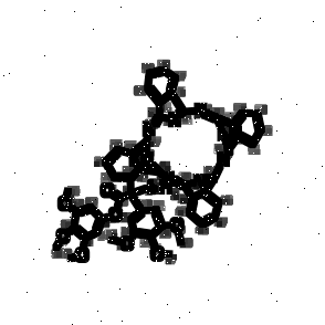 COc1cc(OC(=O)C([SiH3])(c2cc(OC)c(OC)c(OC)c2)c2cccc3c4nc5nc(nc6[nH]c(nc7nc(nc([nH]4)c23)-c2ccccc2-7)c2ccccc62)-c2ccccc2-5)cc(OC)c1OC